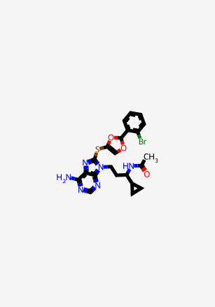 CC(=O)NC(CCn1c(SC2=COC(c3ccccc3Br)O2)nc2c(N)ncnc21)C1CC1